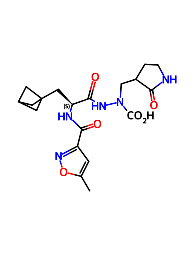 Cc1cc(C(=O)N[C@@H](CC23CC(C2)C3)C(=O)NN(CC2CCNC2=O)C(=O)O)no1